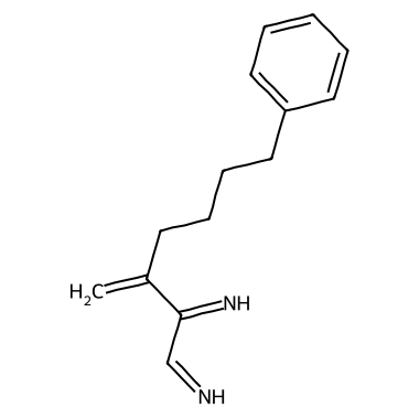 C=C(CCCCc1ccccc1)C(=N)C=N